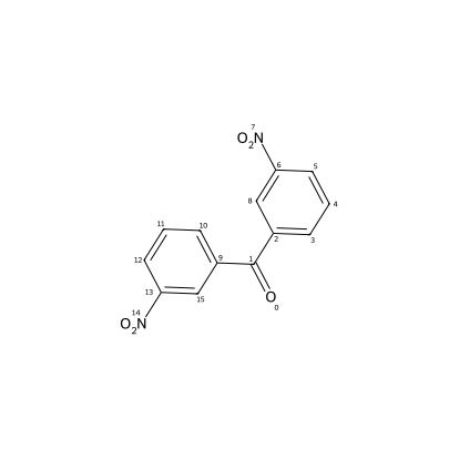 O=C(c1cccc([N+](=O)[O-])c1)c1cccc([N+](=O)[O-])c1